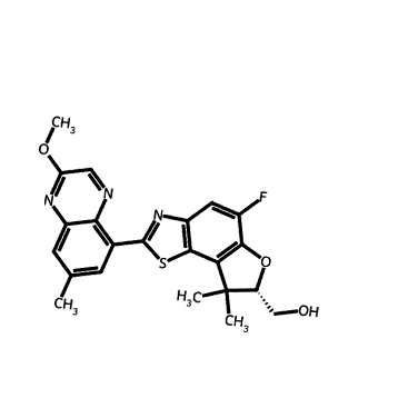 COc1cnc2c(-c3nc4cc(F)c5c(c4s3)C(C)(C)[C@@H](CO)O5)cc(C)cc2n1